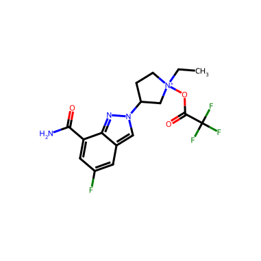 CC[N+]1(OC(=O)C(F)(F)F)CCC(n2cc3cc(F)cc(C(N)=O)c3n2)C1